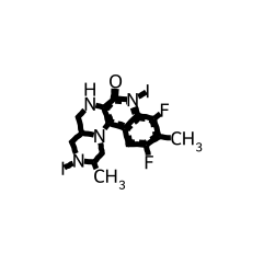 Cc1c(F)cc2c3c(c(=O)n(I)c2c1F)NCC1CN(I)C(C)CN31